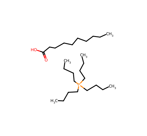 CCCCCCCCCC(=O)O.CCCC[P](CCCC)(CCCC)CCCC